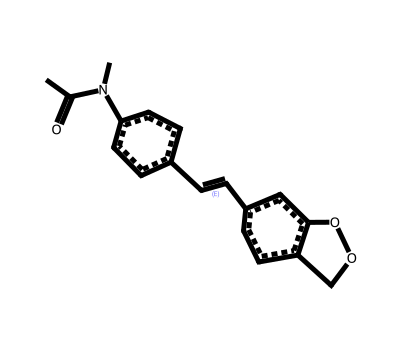 CC(=O)N(C)c1ccc(/C=C/c2ccc3c(c2)OOC3)cc1